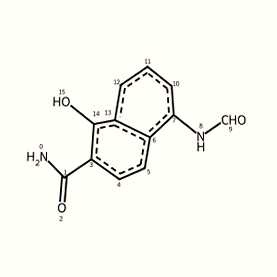 NC(=O)c1ccc2c(NC=O)cccc2c1O